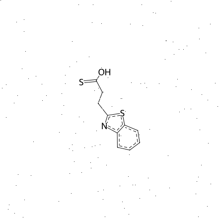 OC(=S)CCc1nc2ccccc2s1